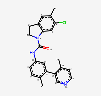 Cc1cc2c(cc1Cl)N(C(=O)Nc1ccc(C)c(-c3cnccc3C)c1)CC2